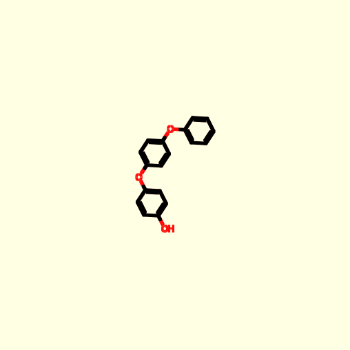 Oc1ccc(Oc2ccc(Oc3ccccc3)cc2)cc1